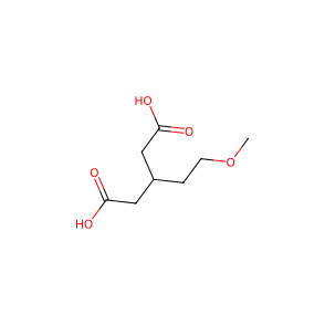 COCCC(CC(=O)O)CC(=O)O